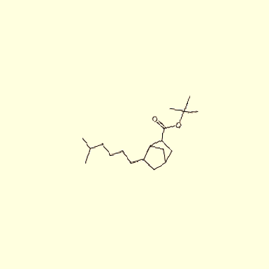 CC(C)CCCCC1CC2CC(C(=O)OC(C)(C)C)C1C2